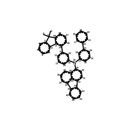 CC1(C)c2ccccc2-c2c(-c3cccc(N(c4cccc(-c5ccccc5)c4)c4ccc5c6c(cccc46)-c4ccccc4-5)c3)cccc21